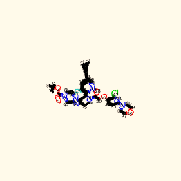 CC(C)(C)OC(=O)N1CCn2c(nc3c2C(c2ncc(C4CC4)cc2F)N(C(=O)COc2ccc(N4CCOCC4)nc2Cl)CC3)C1